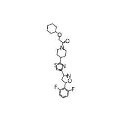 O=C(COC1CCCCC1)N1CCC(c2nc(C3=NOC(c4c(F)cccc4F)C3)cs2)CC1